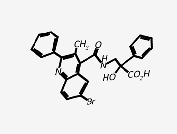 Cc1c(-c2ccccc2)nc2ccc(Br)cc2c1C(=O)NCC(O)(C(=O)O)c1ccccc1